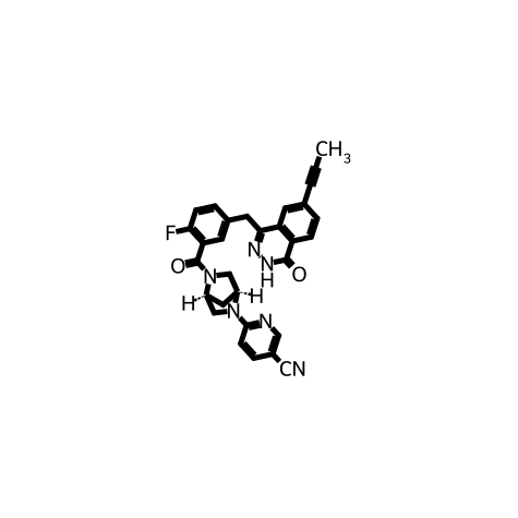 CC#Cc1ccc2c(=O)[nH]nc(Cc3ccc(F)c(C(=O)N4C[C@@H]5C[C@H]4CN5c4ccc(C#N)cn4)c3)c2c1